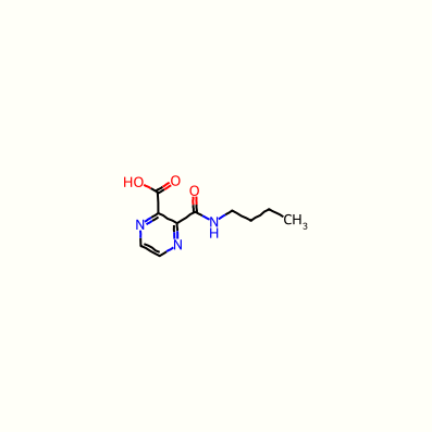 CCCCNC(=O)c1nccnc1C(=O)O